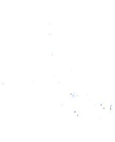 O=c1c2[nH]ccc2nc(SCCOC2CCOCC2)n1-c1ccc(OCC2CC2)cc1